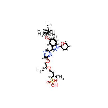 C[C@H](CCO[C@@H](C)COc1cncc(-c2nn(C3CCCCO3)c3ccc(O[Si](C)(C)C(C)(C)C)cc23)n1)CS(=O)(=O)O